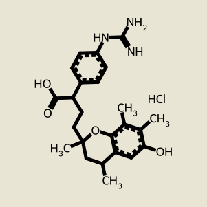 Cc1c(O)cc2c(c1C)OC(C)(CCC(C(=O)O)c1ccc(NC(=N)N)cc1)CC2C.Cl